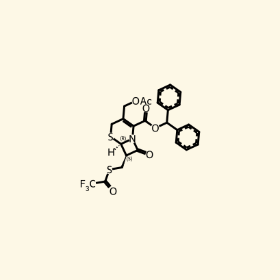 CC(=O)OCC1=C(C(=O)OC(c2ccccc2)c2ccccc2)N2C(=O)[C@@H](CSC(=O)C(F)(F)F)[C@H]2SC1